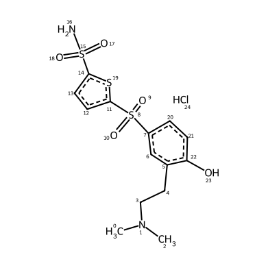 CN(C)CCc1cc(S(=O)(=O)c2ccc(S(N)(=O)=O)s2)ccc1O.Cl